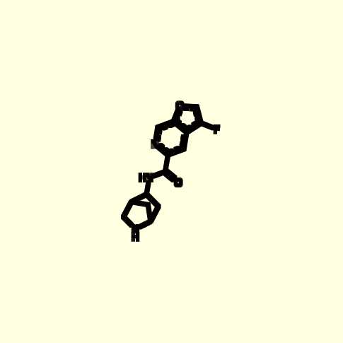 O=C(NC1CC2CC1CN2)c1cc2c(F)coc2cn1